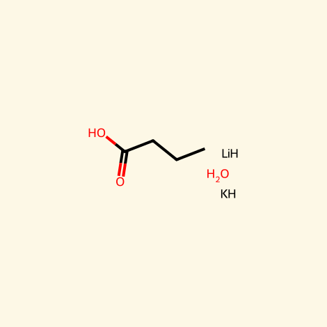 CCCC(=O)O.O.[KH].[LiH]